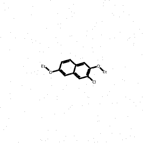 CCOc1ccc2cc(OCC)c(Cl)cc2c1